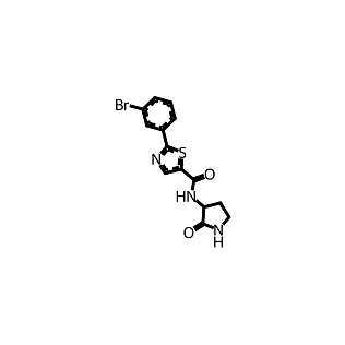 O=C(NC1CCNC1=O)c1cnc(-c2cccc(Br)c2)s1